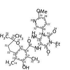 CCn1c(=O)c(NC(=O)c2c(C)c(O)c(C)c3c2OC(C)(C)CC3)c(N)n(-c2ccc(OC)nc2)c1=O